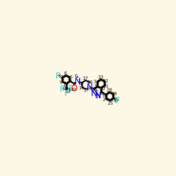 CN(C(=O)c1ccc(F)cc1C(F)(F)F)C1CCN(c2nnc(-c3ccc(F)cc3)c3ccccc23)CC1